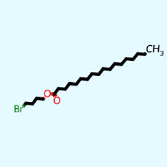 CCCCCCCCCCCCCCCCCC(=O)OCCCCBr